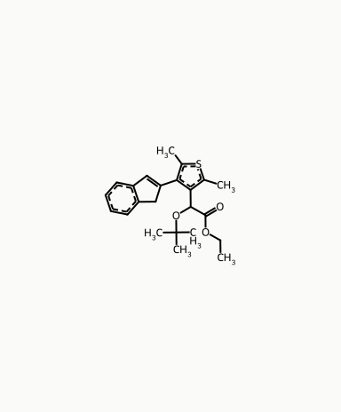 CCOC(=O)C(OC(C)(C)C)c1c(C)sc(C)c1C1=Cc2ccccc2C1